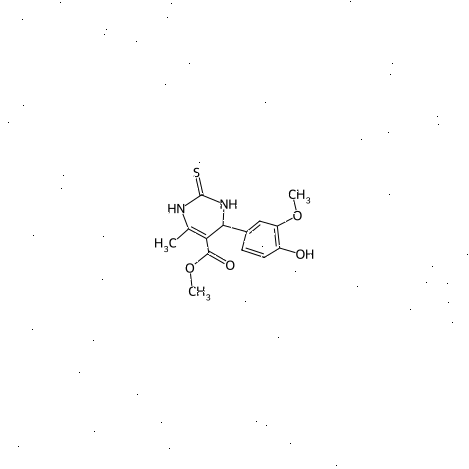 COC(=O)C1=C(C)NC(=S)NC1c1ccc(O)c(OC)c1